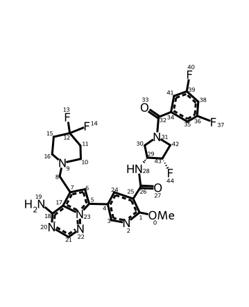 COc1ncc(-c2cc(CN3CCC(F)(F)CC3)c3c(N)ncnn23)cc1C(=O)N[C@@H]1CN(C(=O)c2cc(F)cc(F)c2)C[C@@H]1F